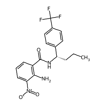 CCC[C@H](NC(=O)c1cccc([N+](=O)[O-])c1N)c1ccc(C(F)(F)F)cc1